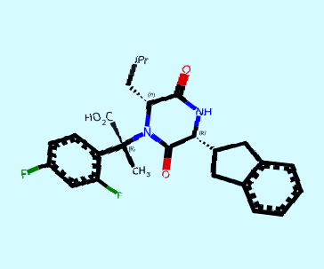 CC(C)C[C@@H]1C(=O)N[C@H](C2Cc3ccccc3C2)C(=O)N1[C@@](C)(C(=O)O)c1ccc(F)cc1F